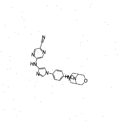 CN1C2COCC1CN(c1ccc(-n3cnc(Nc4cnc(C#N)cn4)c3)cc1)C2